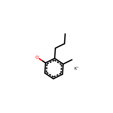 CCCc1c(C)cccc1[O-].[K+]